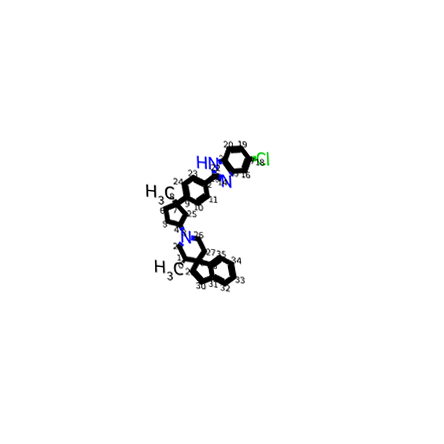 C[C@H]1CN(C2CCC(C)(c3ccc(-c4nc5cc(Cl)ccc5[nH]4)cc3)C2)CCC12C=Cc1ccccc12